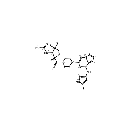 Cc1cc(Nc2nc(N3CCN(C(=O)C(C)(C)C(NC(=O)O)C(C)(C)C)CC3)nn3cccc23)n[nH]1